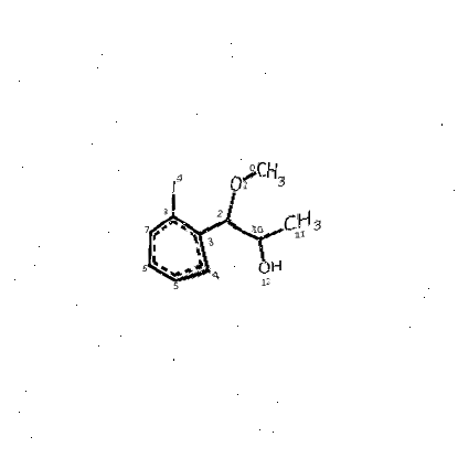 COC(c1ccccc1I)C(C)O